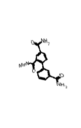 CNC(=O)c1cc(C(N)=O)ccc1-c1cccc(C(N)=O)c1